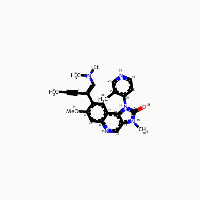 CC#C/C(=C\N(C)CC)c1cc2c(cc1OC)ncc1c2n(-c2ccncc2C)c(=O)n1C